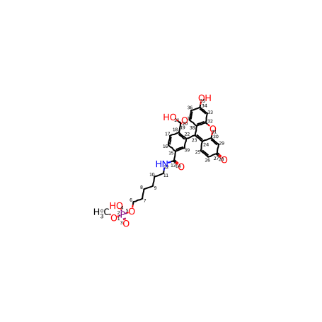 COP(=O)(O)OCCCCCCNC(=O)c1ccc(C(=O)O)c(-c2c3ccc(=O)cc-3oc3cc(O)ccc23)c1